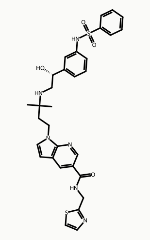 CC(C)(CCn1ccc2cc(C(=O)NCc3nccs3)cnc21)NC[C@H](O)c1cccc(NS(=O)(=O)c2ccccc2)c1